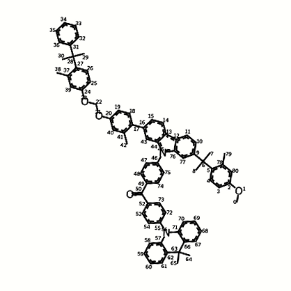 COc1ccc(C(C)(C)c2ccc3c4ccc(-c5ccc(OCOc6ccc(C(C)(C)c7ccccc7)c(C)c6)cc5C)cc4n(-c4ccc(C(=O)c5ccc(N6c7ccccc7C(C)(C)c7ccccc76)cc5)cc4)c3c2)c(C)c1